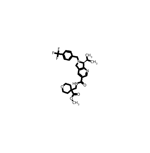 COC(=O)C1(CNC(=O)c2cnc3c(c2)CN(Cc2ccc(C(F)(F)F)cc2)[C@H]3C(C)C)CCOCC1